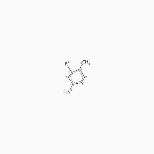 Cc1ccc([NH])cc1F